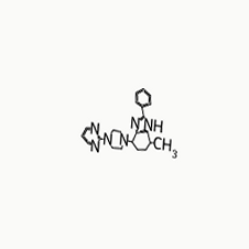 CC1CCC(N2CCN(c3ncccn3)CC2)c2nc(-c3ccccc3)[nH]c21